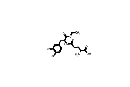 CCOC(=O)[C@H](Cc1ccc(O)c(O)c1)NC(=O)CC[C@H](N)C(=O)O